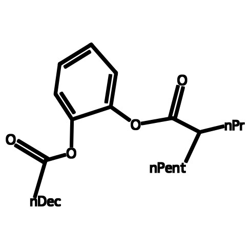 CCCCCCCCCCC(=O)Oc1ccccc1OC(=O)C(CCC)CCCCC